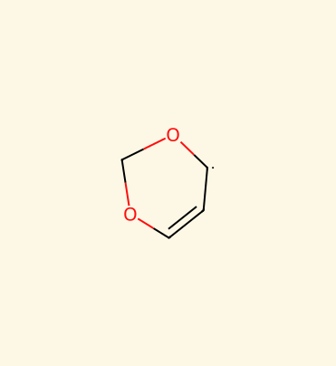 [CH]1C=COCO1